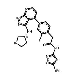 CC(C)(C)c1nc(NC(=O)Cc2ccc(-c3ccnc4[nH]nc(N[C@@H]5CCNC5)c34)cc2F)no1